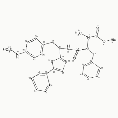 CN(C(=O)OC(C)(C)C)C(Cc1ccccc1)C(=O)NC(Cc1ccc(NS(=O)(=O)O)cc1)c1ncc(-c2ccccc2)s1